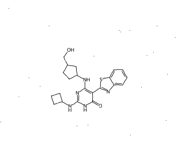 O=c1[nH]c(NC2CCC2)nc(NC2CCC(CO)C2)c1-c1nc2ccccc2s1